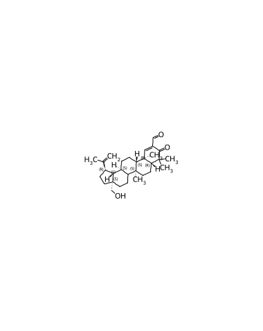 C=C(C)[C@@H]1CC[C@]2(CO)CCC3[C@H](CC[C@@H]4[C@@]5(C)C=C(C=O)C(=O)C(C)(C)[C@@H]5CC[C@@]34C)[C@@H]12